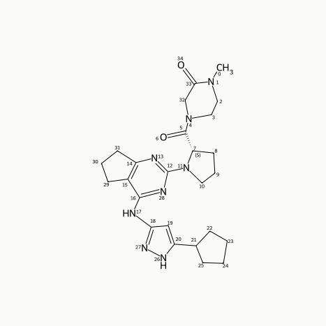 CN1CCN(C(=O)[C@@H]2CCCN2c2nc3c(c(Nc4cc(C5CCCC5)[nH]n4)n2)CCC3)CC1=O